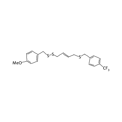 COc1ccc(CSSC/C=C/CSCc2ccc(C(F)(F)F)cc2)cc1